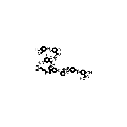 CCN(CC)CCCC(C)Nc1ccnc2cc(Cl)ccc12.Nc1ccc(O)c(C(=O)O)c1.O=C(O)c1cc(/N=N/c2ccc(O)c(C(=O)O)c2)ccc1O.O=C(O)c1cc(/N=N/c2ccc(S(=O)(=O)Nc3ccccn3)cc2)ccc1O